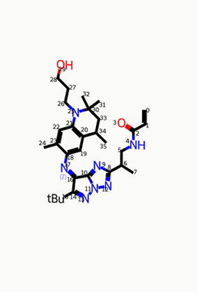 C=CC(=O)NCC(C)c1nc2n(n1)N=C(C(C)(C)C)/C2=N/c1cc2c(cc1C)N(CCCO)C(C)(C)CC2C